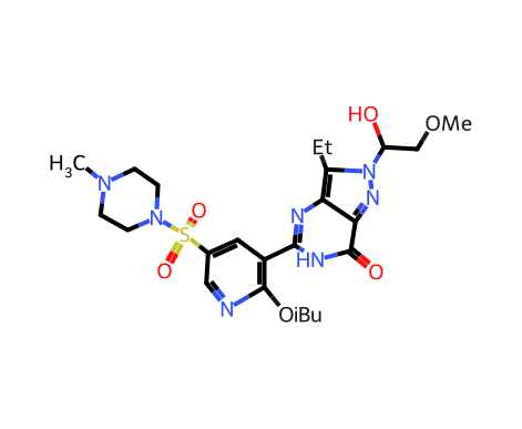 CCc1c2nc(-c3cc(S(=O)(=O)N4CCN(C)CC4)cnc3OCC(C)C)[nH]c(=O)c2nn1C(O)COC